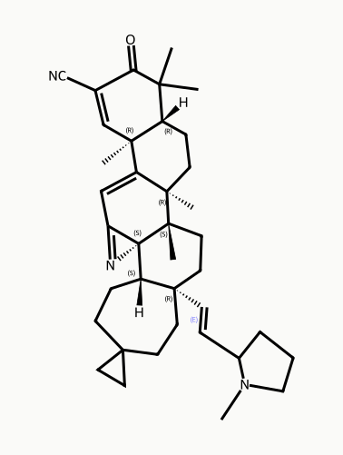 CN1CCCC1/C=C/[C@]12CCC3(CC[C@@H]1[C@@]14N=C1C=C1[C@@]5(C)C=C(C#N)C(=O)C(C)(C)[C@@H]5CC[C@@]1(C)[C@]4(C)CC2)CC3